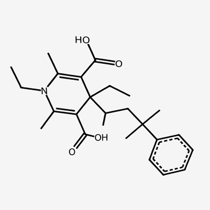 CCN1C(C)=C(C(=O)O)C(CC)(C(C)CC(C)(C)c2ccccc2)C(C(=O)O)=C1C